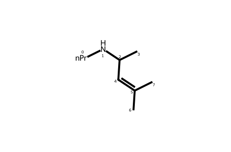 CCCNC(C)C=C(C)C